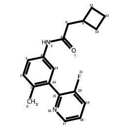 Cc1ccc(NC(=O)CC2CCC2)cc1-c1ncccc1F